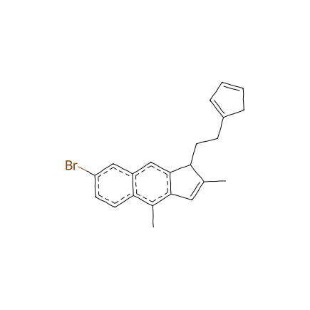 CC1=Cc2c(cc3cc(Br)ccc3c2C)C1CCC1=CC=CC1